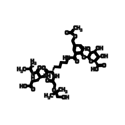 CC(=O)OCc1ccc(O[C@@H]2O[C@H](C(=O)O)[C@@H](O)[C@H](O)[C@H]2O)c(C(=O)NCCCC[C@H](NC(=O)COC(C)(C)CO)C(=O)N[C@@H](CCC(=O)O)C(=O)NC(C)C)c1